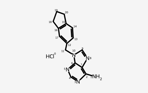 Cl.Nc1ncnc2c1ncn2Cc1ccc2c(c1)CCC2